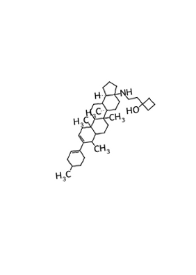 CC1CC=C(C2=CCC3(C)C(CCC4(C)C3CCC3[C@H]5CCCC5(NCCC5(O)CCC5)CC[C@]34C)C2C)CC1